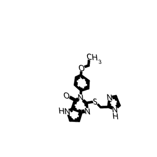 CCOc1ccc(-n2c(SCc3ncc[nH]3)nc3cc[nH]c3c2=O)cc1